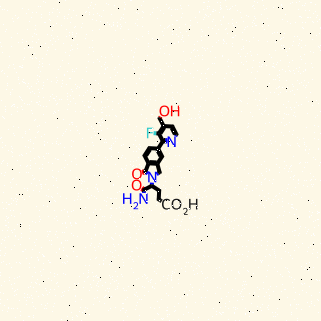 NC(=O)C(CCC(=O)O)N1Cc2cc(-c3nccc(CO)c3F)ccc2C1=O